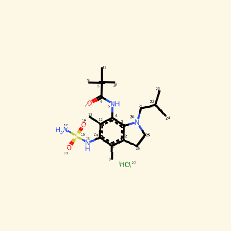 Cc1c2c(c(NC(=O)C(C)(C)C)c(C)c1NS(N)(=O)=O)N(CC(C)C)CC2.Cl